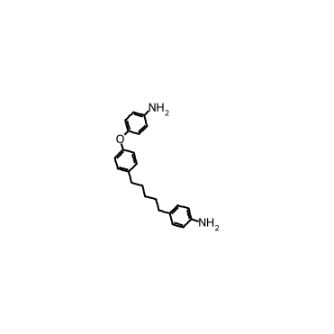 Nc1ccc(CCCCCc2ccc(Oc3ccc(N)cc3)cc2)cc1